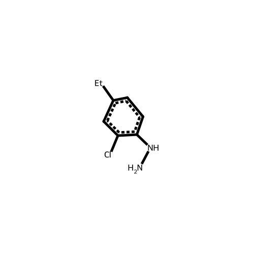 CCc1ccc(NN)c(Cl)c1